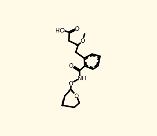 COC(CC(=O)O)Cc1ccccc1C(=O)NOC1CCCCO1